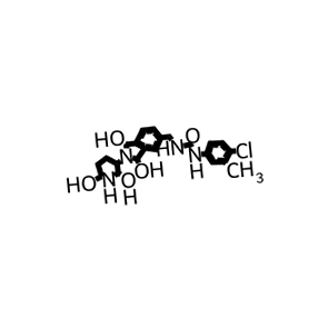 Cc1cc(NC(=O)NCc2ccc3c(c2)C(O)N(C2CCC(O)NC2O)C3O)ccc1Cl